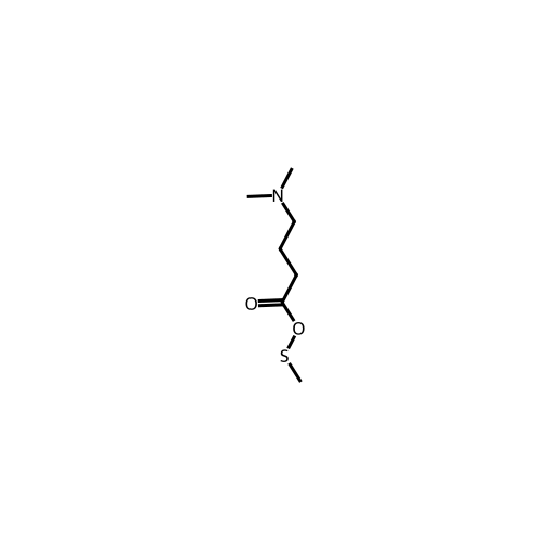 CSOC(=O)CCCN(C)C